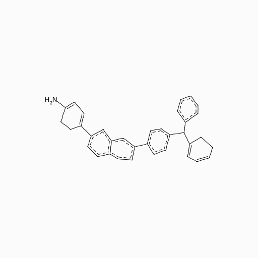 NC1=CC=C(c2ccc3ccc(-c4ccc(C(C5=CC=CCC5)c5ccccc5)cc4)cc3c2)CC1